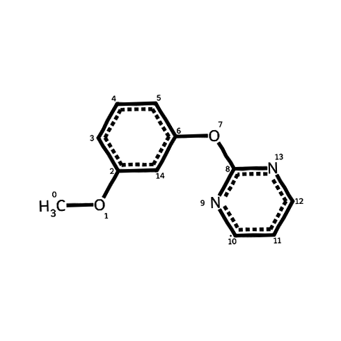 COc1cccc(Oc2n[c]ccn2)c1